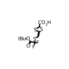 CC(C)(C)OC(=O)C(F)(F)SC=C1SC(C(=O)O)S1